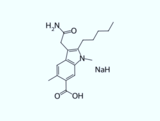 CCCCCc1c(CC(N)=O)c2cc(C)c(C(=O)O)cc2n1C.[NaH]